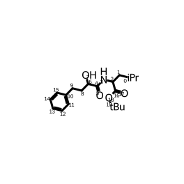 CC(C)CC(NC(=O)C(O)CCc1ccccc1)C(=O)OC(C)(C)C